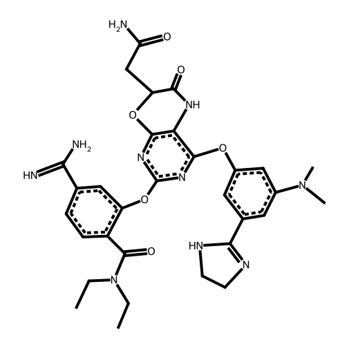 CCN(CC)C(=O)c1ccc(C(=N)N)cc1Oc1nc(Oc2cc(C3=NCCN3)cc(N(C)C)c2)c2c(n1)OC(CC(N)=O)C(=O)N2